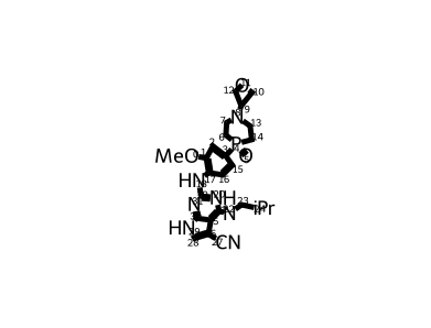 COc1cc(P2(=O)CCN(C3COC3)CC2)ccc1Nc1nc(NCC(C)C)c2c(C#N)c[nH]c2n1